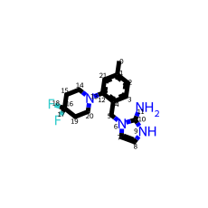 Cc1ccc(CN2C=CNC2N)c(N2CCC(F)(F)CC2)c1